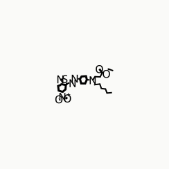 CCCCCCN(CCC(=O)OCC)c1ccc(N=Nc2snc3ccc([N+](=O)[O-])cc23)cc1